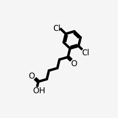 O=C(O)CCCCC(=O)c1cc(Cl)ccc1Cl